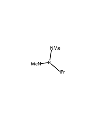 CNB(NC)C(C)C